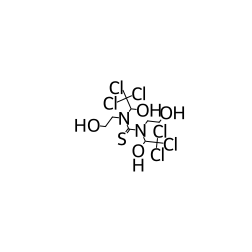 OCCN(C(=S)N(CCO)C(O)C(Cl)(Cl)Cl)C(O)C(Cl)(Cl)Cl